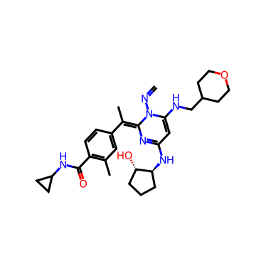 C=NN1C(NCC2CCOCC2)=CC(N[C@H]2CCC[C@@H]2O)=N/C1=C(/C)c1ccc(C(=O)NC2CC2)c(C)c1